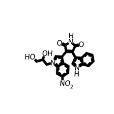 O=C1NC(=O)C(c2cn(CC(O)CO)c3cc([N+](=O)[O-])ccc23)=C1c1c[nH]c2ccccc12